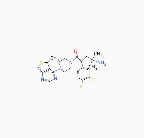 CC1SCc2ncnc(N3CCN(C(=O)C(CC(C)(C)N)c4ccc(F)c(F)c4)CC3)c21